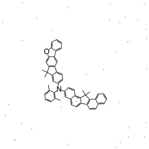 Cc1cccc(C)c1N(c1ccc2c(c1)C(C)(C)c1cc3oc4ccccc4c3cc1-2)c1ccc2c3c(ccc2c1)-c1ccc2ccccc2c1C3(C)C